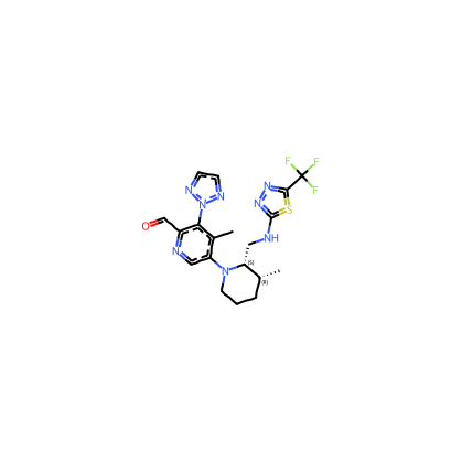 Cc1c(N2CCC[C@@H](C)[C@H]2CNc2nnc(C(F)(F)F)s2)cnc(C=O)c1-n1nccn1